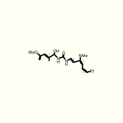 C=C(/C=C(\C)C(O)NC(=O)N/C=C/C(=C\C=C/CC)NC)OC